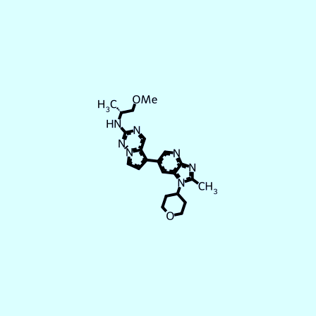 COC[C@@H](C)Nc1ncc2c(-c3cnc4nc(C)n(C5CCOCC5)c4c3)ccn2n1